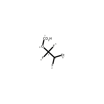 CCC(F)C(F)(F)OC(=O)O